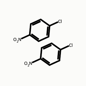 O=[N+]([O-])c1ccc(Cl)cc1.O=[N+]([O-])c1ccc(Cl)cc1